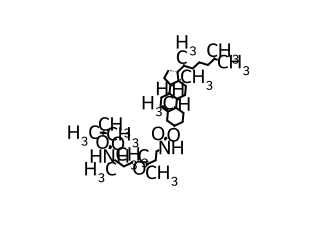 CC(C)CCC[C@@H](C)[C@H]1CC[C@H]2[C@@H]3CC=C4C[C@@H](OC(=O)NCCC(C)(C)OCCC(C)(C)NC(=O)OC(C)(C)C)CC[C@]4(C)[C@H]3CC[C@]12C